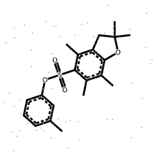 Cc1cccc(OS(=O)(=O)c2c(C)c(C)c3c(c2C)CC(C)(C)O3)c1